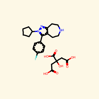 Fc1ccc(-c2c3c(nn2C2CCCC2)CCNCC3)cc1.O=C(O)CC(O)(CC(=O)O)C(=O)O